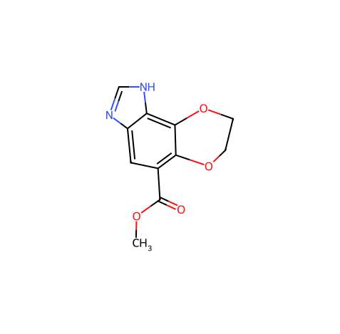 COC(=O)c1cc2nc[nH]c2c2c1OCCO2